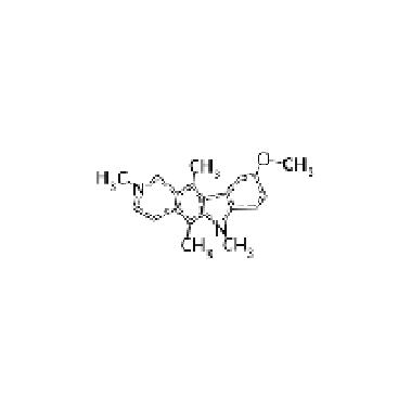 COc1ccc2c(c1)c1c(C)c3c[n+](C)ccc3c(C)c1n2C